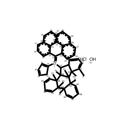 CC1=CC=CC2[CH]([Zr]([C]3=CC=CC3)=[C](c3cccc4ccccc34)c3cccc4ccccc34)C3(C)C4(C)C=CC=CC4(C)C4(C)C=CC=CC4(C)C3(C)C12C.Cl.Cl